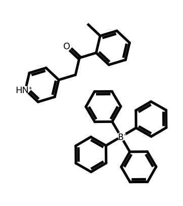 Cc1ccccc1C(=O)Cc1cc[nH+]cc1.c1ccc([B-](c2ccccc2)(c2ccccc2)c2ccccc2)cc1